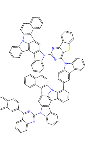 c1ccc2cc(-c3nc(-n4c5ccccc5c5c6c7cccc(-c8ccc9c(c8)c8ccccc8n9-c8nc(-n9c%10ccccc%10c%10c%11c%12ccccc%12n%12c%13ccc%14ccccc%14c%13c(cc%109)c%11%12)nc9c8sc8ccccc89)c7n7c8ccc9ccccc9c8c(cc54)c67)nc4ccccc34)ccc2c1